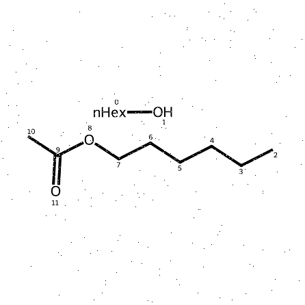 CCCCCCO.CCCCCCOC(C)=O